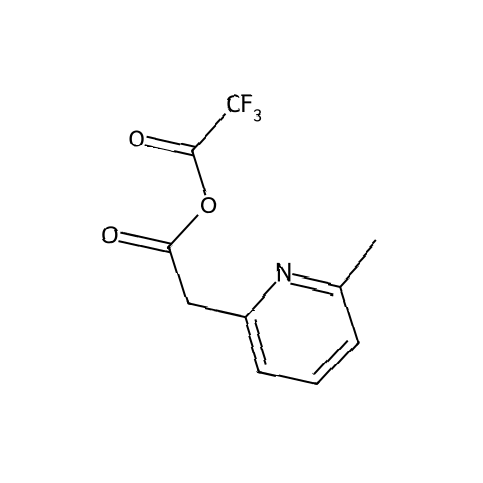 Cc1cccc(CC(=O)OC(=O)C(F)(F)F)n1